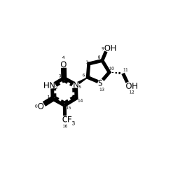 O=c1[nH]c(=O)n([C@H]2CC(O)[C@H](CO)S2)cc1C(F)(F)F